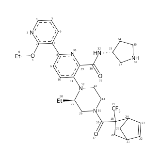 CCOc1ncccc1-c1ccc(N2CCN(C(=O)C3(C(F)(F)F)CC4C=CC3C4)C[C@H]2CC)c(C(=O)N[C@@H]2CCNC2)n1